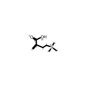 C=C(CC[Si](C)(C)C)C(=O)O